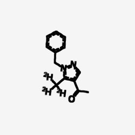 [2H]C([2H])([2H])c1c(C(C)=O)cnn1Cc1ccccc1